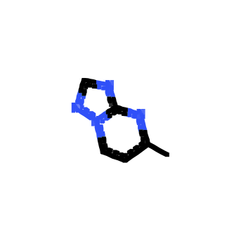 Cc1ccn2ncnc2n1